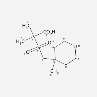 CC1(CS(=O)(=O)C(C)(C)C(=O)O)CCOCC1